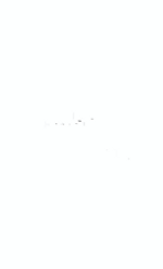 CCCCCCCCCC(OCCOCCO)C(S)S